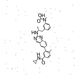 Cc1ccc(C(=O)NC2CC2)cc1-c1ccc2nc(N[C@@H](C)Cc3cccc(N(C)C(=O)O)c3)ncc2c1